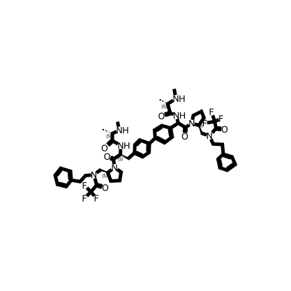 CN[C@@H](C)C(=O)NC(C(=O)N1CCC[C@H]1CN(CCc1ccccc1)C(=O)C(F)(F)F)c1ccc(-c2ccc(C[C@H](NC(=O)[C@H](C)NC)C(=O)N3CCC[C@H]3CN(CCc3ccccc3)C(=O)C(F)(F)F)cc2)cc1